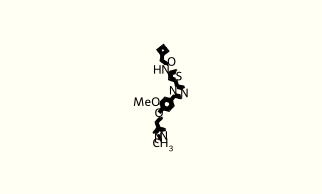 COc1cc(-c2cncc(-c3cc(NC(=O)CC4CCC4)cs3)n2)ccc1OCCc1cnn(C)c1